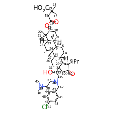 CC(C)C1=C2[C@H]3CC[C@@H]4[C@@]5(C)CCC(OC(=O)CC(C)(C)C(=O)O)C(C)(C)[C@@H]5CC[C@@]4(C)[C@]3(C)CC[C@@]2([C@@H](O)CN(CCN(C)C)Cc2ccc(Cl)cc2)CC1=O